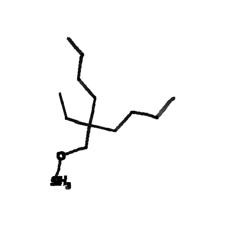 CCCCC(CC)(CCCC)CO[SiH3]